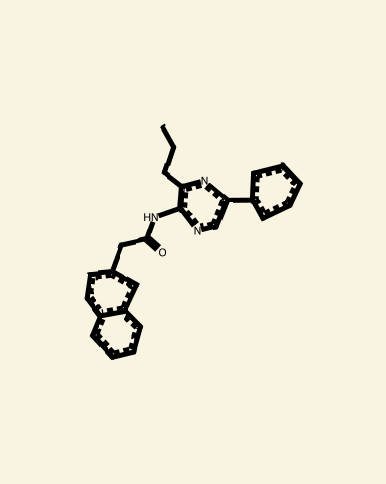 CCCc1nc(-c2ccccc2)cnc1NC(=O)Cc1ccc2ccccc2c1